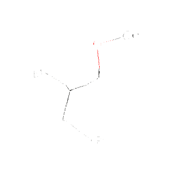 CCCCC(CC)C[O][Ce]